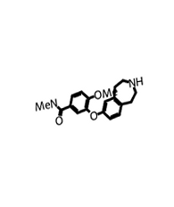 CNC(=O)c1ccc(OC)c(Oc2ccc3c(c2)CCNCC3)c1